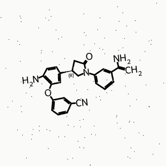 C=C(N)c1cccc(N2C[C@@H](c3ccc(N)c(Oc4cccc(C#N)c4)c3)CC2=O)c1